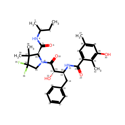 CCC(C)NC(=O)[C@H]1N(C(=O)[C@@H](O)[C@H](Cc2ccccc2)NC(=O)c2cc(C)cc(O)c2C)CC(F)(F)C1(C)C